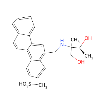 CS(=O)(=O)O.C[C@H](O)[C@@](C)(CO)NCc1cc2c3ccccc3ccc2c2ccccc12